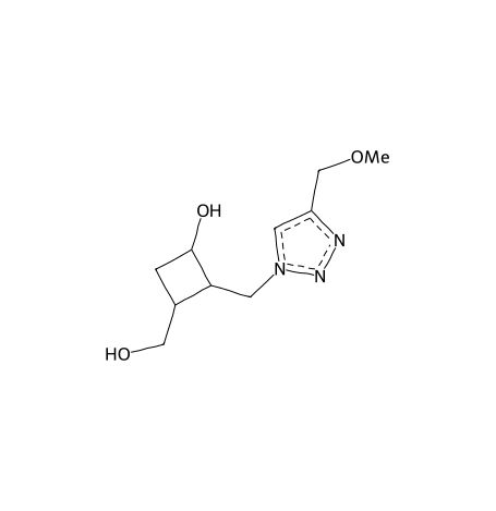 COCc1cn(CC2C(O)CC2CO)nn1